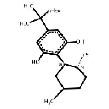 CCCCCCC(C)(C)c1cc(O)c([C@@H]2CC(C)CC[C@H]2C(C)C)c(O)c1